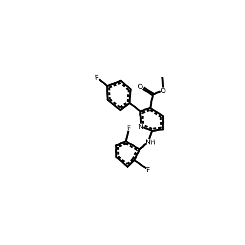 COC(=O)c1ccc(Nc2c(F)cccc2F)nc1-c1ccc(F)cc1